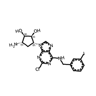 N[C@H]1C[C@@H](n2cnc3c(NCc4cccc(I)c4)nc(Cl)nc32)[C@H](O)[C@@H]1O